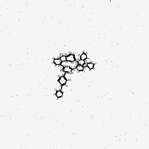 c1ccc(-c2ccc(-c3nc(-c4ccc(-c5ccccc5)cc4)nc(-c4cccc5oc6ccc(-c7cccc8ccccc78)cc6c45)n3)cc2)cc1